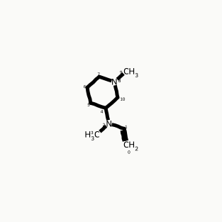 C=CN(C)C1CCCN(C)C1